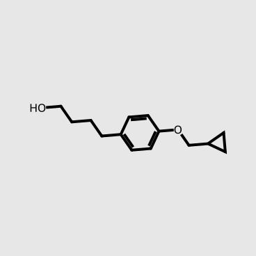 OCCCCc1ccc(OCC2CC2)cc1